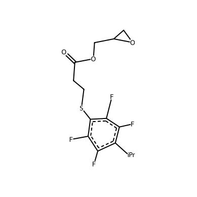 CC(C)c1c(F)c(F)c(SCCC(=O)OCC2CO2)c(F)c1F